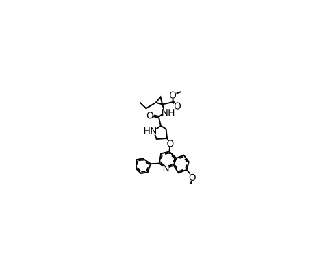 CCC1CC1(NC(=O)C1CC(Oc2cc(-c3ccccc3)nc3cc(OC)ccc23)CN1)C(=O)OC